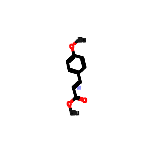 CCC(C)Oc1ccc(/C=C/C(=O)OC(C)(C)C)cc1